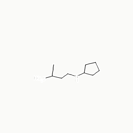 CC(CCNC1CCCC1)S(=O)(=O)O